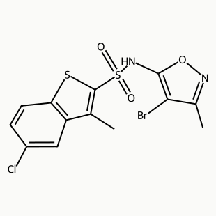 Cc1noc(NS(=O)(=O)c2sc3ccc(Cl)cc3c2C)c1Br